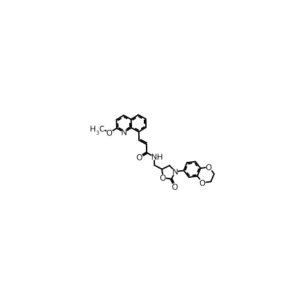 COc1ccc2cccc(C=CC(=O)NCC3CN(c4ccc5c(c4)OCCO5)C(=O)O3)c2n1